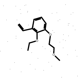 C=[C]c1cccc(OCCOC)c1OCC